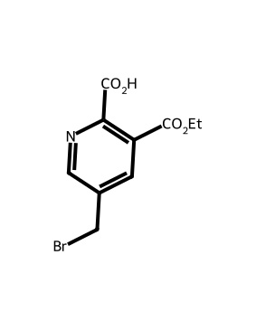 CCOC(=O)c1cc(CBr)cnc1C(=O)O